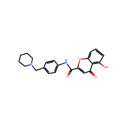 O=C(Nc1ccc(CN2CCCCC2)cc1)c1cc(=O)c2c(O)cccc2o1